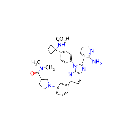 CN(C)C(=O)C1CCN(c2cccc(-c3ccc4nc(-c5cccnc5N)n(-c5ccc(C6(NC(=O)O)CCC6)cc5)c4n3)c2)C1